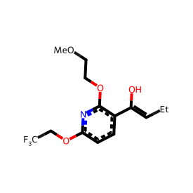 CC/C=C(\O)c1ccc(OCC(F)(F)F)nc1OCCOC